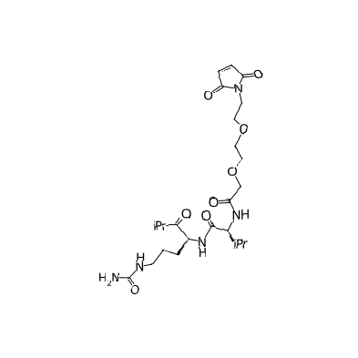 CC(C)C(=O)[C@H](CCCNC(N)=O)NC(=O)[C@@H](NC(=O)COCCOCCN1C(=O)C=CC1=O)C(C)C